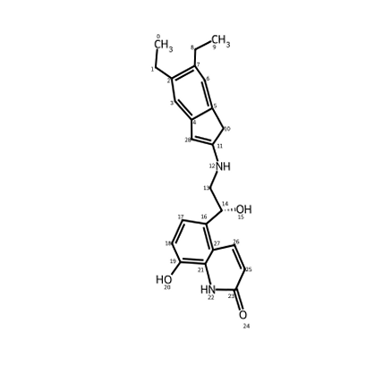 CCc1cc2c(cc1CC)CC(NC[C@H](O)c1ccc(O)c3[nH]c(=O)ccc13)=C2